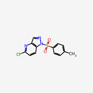 Cc1ccc(S(=O)(=O)n2ncc3nc(Cl)ccc32)cc1